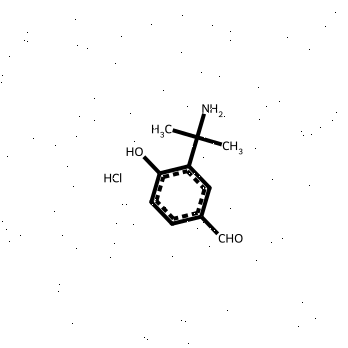 CC(C)(N)c1cc(C=O)ccc1O.Cl